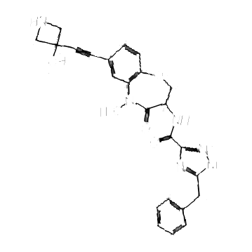 CN1C(=O)C(NC(=O)c2n[nH]c(Cc3ccccc3)n2)COc2ccc(C#CC3(O)CNC3)cc21